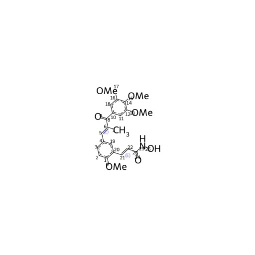 COc1ccc(/C=C(\C)C(=O)c2cc(OC)c(OC)c(OC)c2)cc1/C=C/C(=O)NO